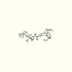 Cn1ncc2cc(C(N)=O)c(OC3CC4(CC(NC(=O)c5cnn6c(C7CC7)c(OCC(C)(C)O)ccc56)C4)C3)nc21